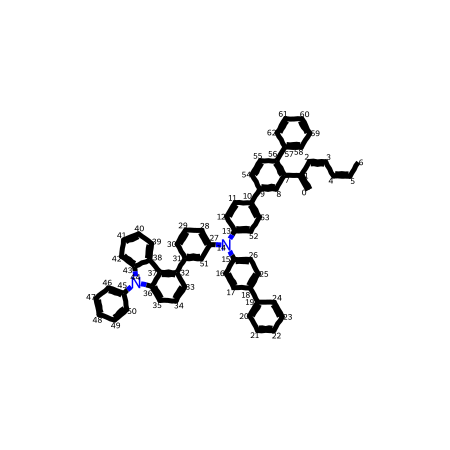 C=C(/C=C\C=C/C)c1cc(-c2ccc(N(c3ccc(-c4ccccc4)cc3)c3cccc(-c4cccc5c4c4ccccc4n5-c4ccccc4)c3)cc2)ccc1-c1ccccc1